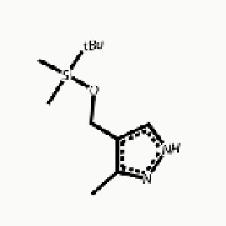 Cc1n[nH]cc1CO[Si](C)(C)C(C)(C)C